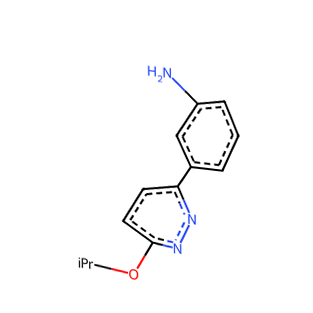 CC(C)Oc1ccc(-c2cccc(N)c2)nn1